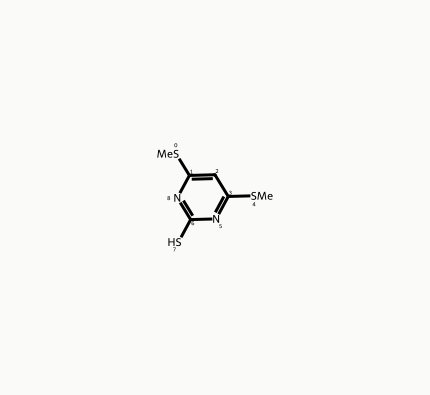 CSc1cc(SC)nc(S)n1